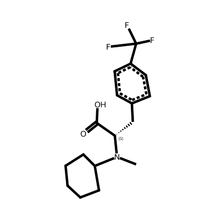 CN(C1CCCCC1)[C@@H](Cc1ccc(C(F)(F)F)cc1)C(=O)O